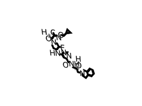 CC(=NOCC1CC1)C(=O)N1CCC(Nc2cc(C(=O)NC[C@H](O)CN3CCc4ccccc4C3)ncn2)C(F)C1